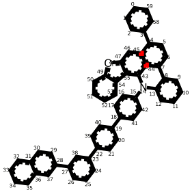 c1ccc(-c2ccc(-c3ccccc3N(c3ccc(-c4ccc(-c5cccc(-c6ccc7ccccc7c6)c5)cc4)cc3)c3cccc4oc5ccccc5c34)cc2)cc1